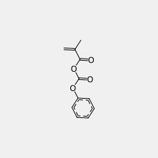 C=C(C)C(=O)OC(=O)Oc1ccccc1